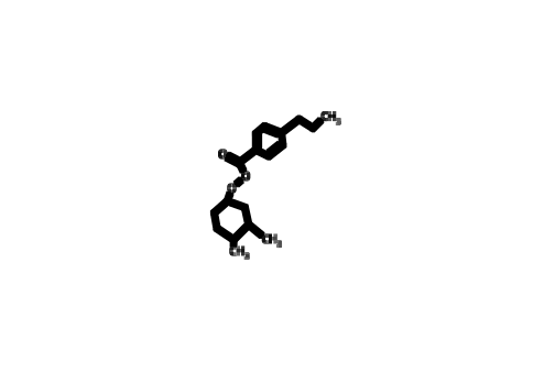 CCCc1ccc(C(=O)OO[C]2CCC(C)C(C)C2)cc1